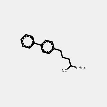 CCCCCCC(C#N)CCCc1ccc(-c2ccccc2)cc1